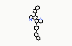 c1ccc2cc(-c3ccc(-c4cc5c(cc(-c6ccc7ccccc7c6)c6cccnc65)c5ncccc45)cc3)ccc2c1